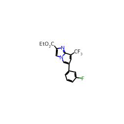 CCOC(=O)c1cn2cc(-c3cccc(F)c3)cc(C(F)(F)F)c2n1